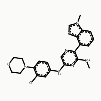 CNc1nc(Nc2ccc(N3CCOCC3)c(Cl)c2)cnc1-c1cccc2c1ncn2C